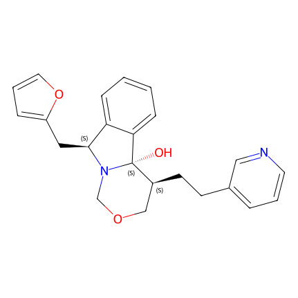 O[C@@]12c3ccccc3[C@H](Cc3ccco3)N1COC[C@@H]2CCc1cccnc1